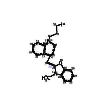 CN1/C(=C/c2cc[n+](CCCI)c3ccccc23)Oc2ccccc21